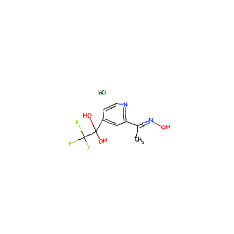 CC(=NO)c1cc(C(O)(O)C(F)(F)F)ccn1.Cl